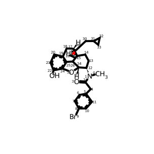 CN(C(=O)Cc1ccc(Br)cc1)[C@H]1CC[C@@]2(O)[C@H]3Cc4ccc(O)c5c4[C@@]2(CCN3CC2CC2)[C@H]1O5